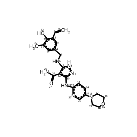 C=Cc1cc(CNc2[nH]nc(Nc3ccc(N4CCOCC4)cn3)c2C(N)=O)cc(C)c1O